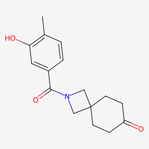 Cc1ccc(C(=O)N2CC3(CCC(=O)CC3)C2)cc1O